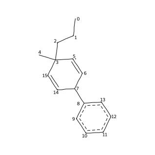 CCCC1(C)[C]=CC(c2ccccc2)C=C1